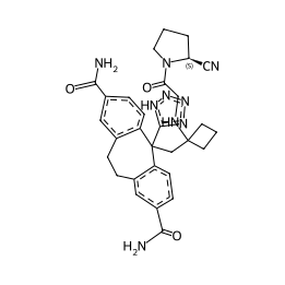 N#C[C@@H]1CCCN1C(=O)CNC1(CC2(c3nnn[nH]3)c3ccc(C(N)=O)cc3CCc3cc(C(N)=O)ccc32)CCC1